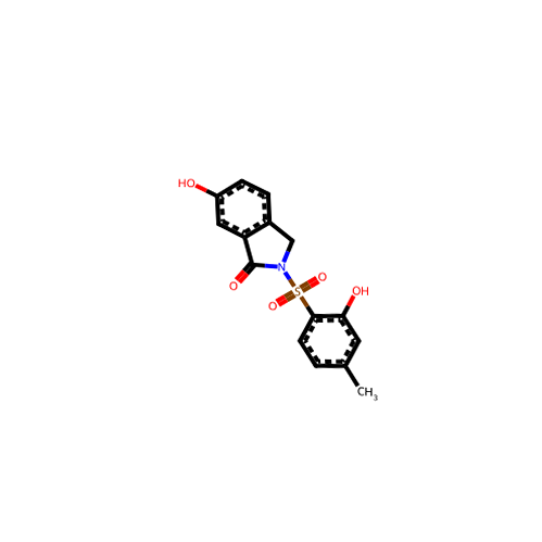 Cc1ccc(S(=O)(=O)N2Cc3ccc(O)cc3C2=O)c(O)c1